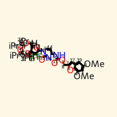 COc1cc(OC)c2oc(COC(=O)Nc3ccn([C@@H]4O[C@@H]5CO[Si](C(C)C)(C(C)C)O[Si](C(C)C)(C(C)C)O[C@H]5C4(F)F)c(=O)n3)cc2c1